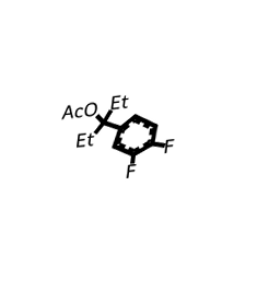 CCC(CC)(OC(C)=O)c1ccc(F)c(F)c1